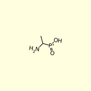 CC(N)[P+](=O)O